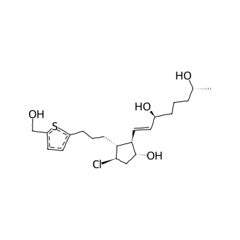 C[C@@H](O)CCC[C@H](O)/C=C/[C@@H]1[C@@H](CCCc2ccc(CO)s2)[C@H](Cl)C[C@H]1O